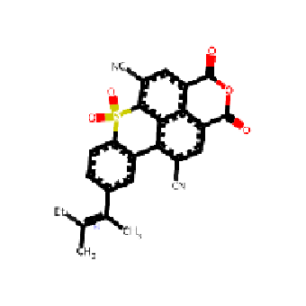 CC/C(C)=C(/C)c1ccc2c(c1)-c1c(C#N)cc3c4c(cc(C#N)c(c14)S2(=O)=O)C(=O)OC3=O